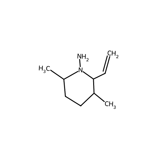 C=CC1C(C)CCC(C)N1N